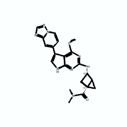 COc1nc(N[C@H]2C[C@]3(C(=O)N(C)C)CC23)nc2[nH]cc(-c3ccn4ncnc4c3)c12